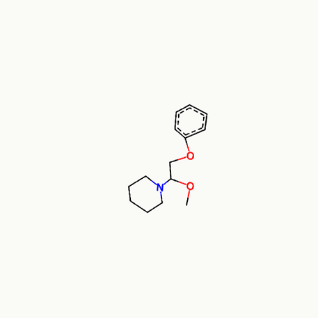 COC(COc1ccccc1)N1CCCCC1